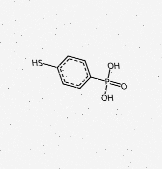 O=P(O)(O)c1ccc(S)cc1